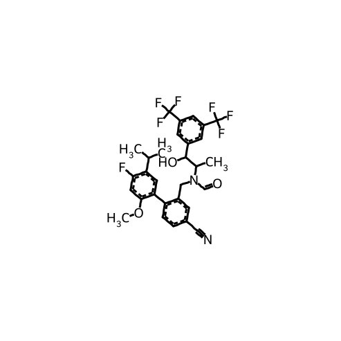 COc1cc(F)c(C(C)C)cc1-c1ccc(C#N)cc1CN(C=O)C(C)C(O)c1cc(C(F)(F)F)cc(C(F)(F)F)c1